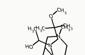 COC(C)(C)CN(C(C)O)C12CCN(C)CC1C2